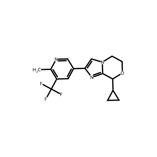 Cc1ncc(-c2cn3c(n2)C(C2CC2)OCC3)cc1C(F)(F)F